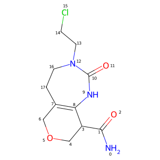 NC(=O)C1COCC2=C1NC(=O)N(CCCl)CC2